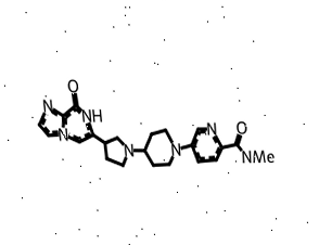 CNC(=O)c1ccc(N2CCC(N3CCC(c4cn5ccnc5c(=O)[nH]4)C3)CC2)cn1